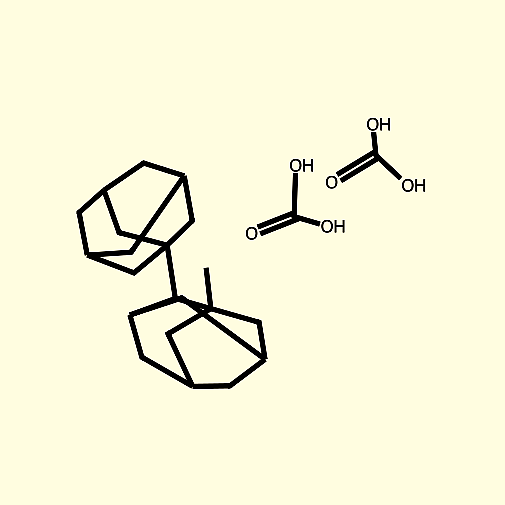 CC12CC3CC(CC(C3)C1C13CC4CC(CC(C4)C1)C3)C2.O=C(O)O.O=C(O)O